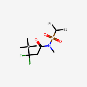 CCC(C(C)C)S(=O)(=O)N(C)C(=O)CC(F)(F)[Si](C)(C)C